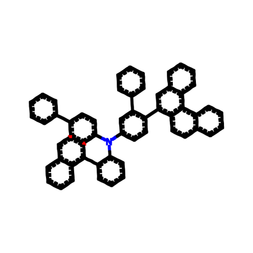 c1ccc(-c2ccc(N(c3ccc(-c4cc5ccccc5c5c4ccc4ccccc45)c(-c4ccccc4)c3)c3ccccc3-c3cccc4ccccc34)cc2)cc1